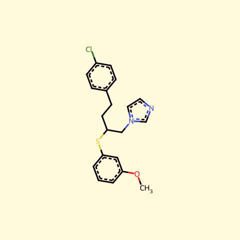 COc1cccc(SC(CCc2ccc(Cl)cc2)Cn2ccnc2)c1